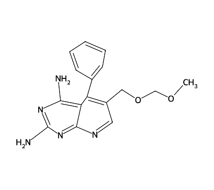 COCOCc1cnc2nc(N)nc(N)c2c1-c1ccccc1